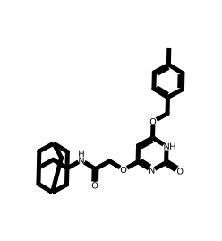 Cc1ccc(COc2cc(OCC(=O)NC34CC5CC(CC(C5)C3)C4)nc(=O)[nH]2)cc1